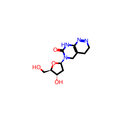 O=C1NC2=C(CCN=N2)CN1[C@H]1C[C@H](O)[C@@H](CO)O1